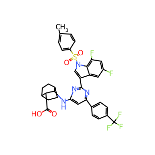 Cc1ccc(S(=O)(=O)n2cc(-c3nc(NC4C5CCC(CC5)C4C(=O)O)cc(-c4ccc(C(F)(F)F)cc4)n3)c3cc(F)cc(F)c32)cc1